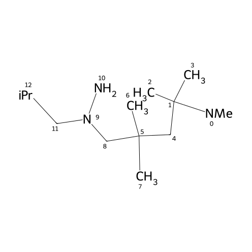 CNC(C)(C)CC(C)(C)CN(N)CC(C)C